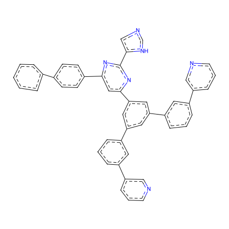 c1ccc(-c2ccc(-c3cc(-c4cc(-c5cccc(-c6cccnc6)c5)cc(-c5cccc(-c6cccnc6)c5)c4)nc(-c4cnc[nH]4)n3)cc2)cc1